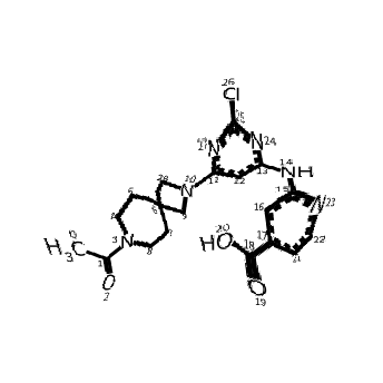 CC(=O)N1CCC2(CC1)CN(c1cc(Nc3cc(C(=O)O)ccn3)nc(Cl)n1)C2